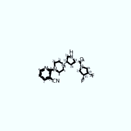 N#Cc1cccnc1N1CCN([C@@H]2CN[C@H](C(=O)N3C[C@@H](F)[C@@H](F)C3)C2)CC1